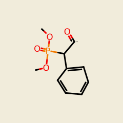 COP(=O)(OC)C([C]=O)c1ccccc1